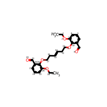 CCOc1cccc(C=O)c1OCCC=CCCOc1c(C=O)cccc1OCC